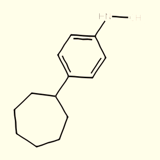 CNc1ccc(C2CCCCCC2)cc1